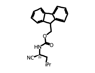 CC(C)C[C@@H](C#N)NC(=O)OCC1c2ccccc2-c2ccccc21